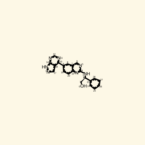 OC[C@@H](Nc1ncc2cc(-c3ncnc4[nH]ncc34)ccc2n1)c1ccccc1